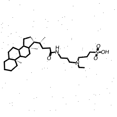 CCN(CCCNC(=O)CC[C@@H](C)[C@H]1CCC2C3CCC4CCCC[C@]4(C)C3CC[C@@]21C)CCCS(=O)(=O)O